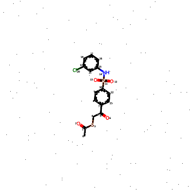 CC(=O)SCC(=O)c1ccc(S(=O)(=O)Nc2cccc(Cl)c2)cc1